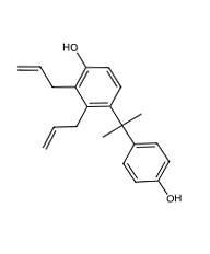 C=CCc1c(O)ccc(C(C)(C)c2ccc(O)cc2)c1CC=C